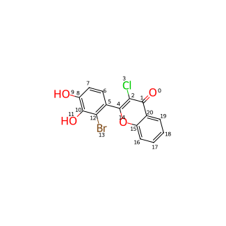 O=c1c(Cl)c(-c2ccc(O)c(O)c2Br)oc2ccccc12